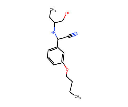 CCCCOc1cccc(C(C#N)NC(CC)CO)c1